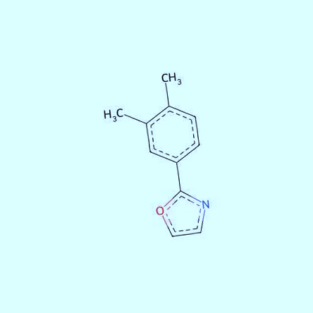 Cc1ccc(-c2ncco2)cc1C